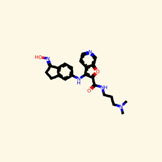 CN(C)CCCNC(=O)c1oc2cnccc2c1Nc1ccc2c(c1)CCC2=NO